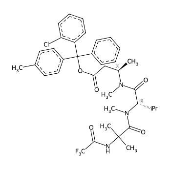 Cc1ccc(C(OC(=O)C[C@@H](C)N(C)C(=O)[C@H](C(C)C)N(C)C(=O)C(C)(C)NC(=O)C(F)(F)F)(c2ccccc2)c2ccccc2Cl)cc1